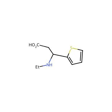 CCNC(CC(=O)O)c1cccs1